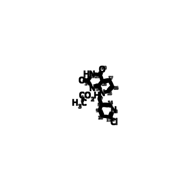 CC(=O)O.O=c1nc2n(Cc3ccc(Cl)nc3)cccc-2c(=O)[nH]1